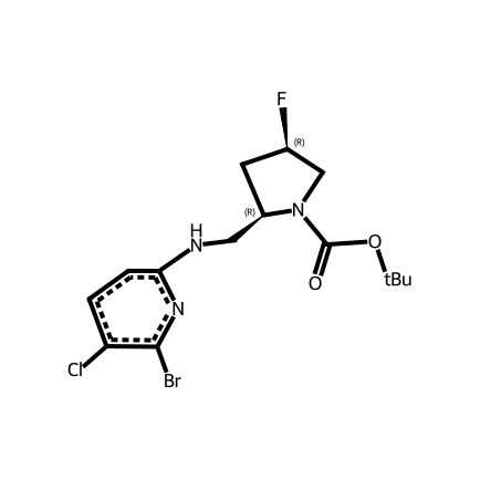 CC(C)(C)OC(=O)N1C[C@H](F)C[C@@H]1CNc1ccc(Cl)c(Br)n1